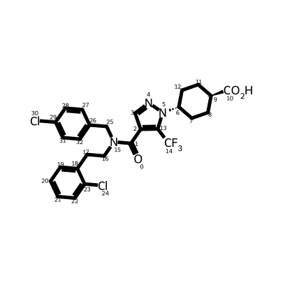 O=C(c1cnn([C@H]2CC[C@H](C(=O)O)CC2)c1C(F)(F)F)N(CCc1ccccc1Cl)Cc1ccc(Cl)cc1